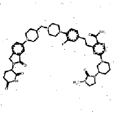 CN1CCN([C@@H]2CCCN(c3nnc(C(N)=O)c(CCc4ccc(N5CCN(CC6CCN(c7ccc8c(c7)C(=O)N(C7CCC(=O)NC7=O)C8)CC6)CC5)c(F)c4)n3)C2)C1=O